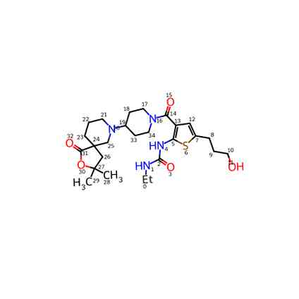 CCNC(=O)Nc1sc(CCCO)cc1C(=O)N1CCC(N2CCCC3(C2)CC(C)(C)OC3=O)CC1